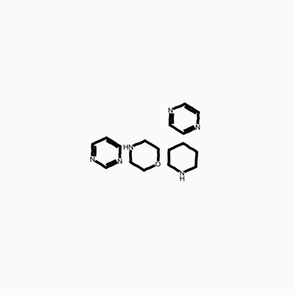 C1CCNCC1.C1COCCN1.c1cnccn1.c1cncnc1